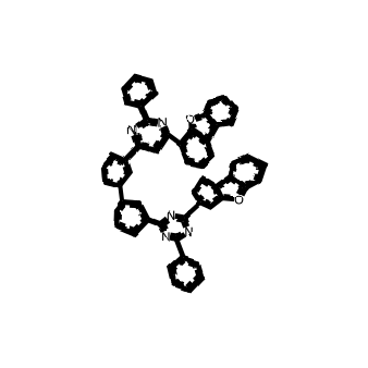 c1ccc(-c2nc(-c3cccc(-c4cccc(-c5nc(-c6ccccc6)nc(-c6ccc7c(c6)oc6ccccc67)n5)c4)c3)cc(-c3cccc4c3oc3ccccc34)n2)cc1